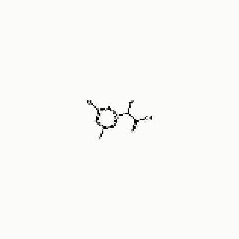 O=C(O)C(Br)c1cc(Cl)cc(Cl)c1